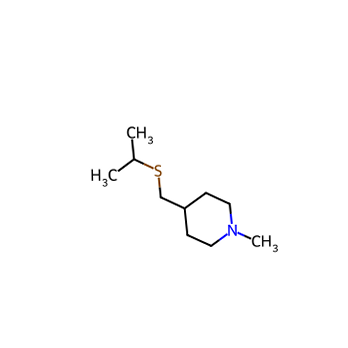 CC(C)SCC1CCN(C)CC1